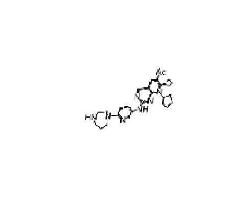 CC(=O)c1cc2cnc(Nc3ccc(N4CCCNCC4)nc3)nc2n(C2CCCC2)c1=O